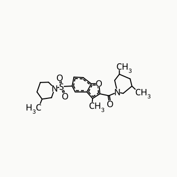 Cc1c(C(=O)N2CC(C)CC(C)C2)oc2ccc(S(=O)(=O)N3CCCC(C)C3)cc12